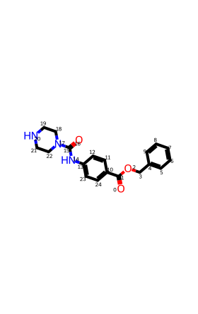 O=C(OCc1ccccc1)c1ccc(NC(=O)N2CCNCC2)cc1